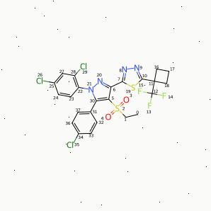 CCS(=O)(=O)c1c(-c2nnc(C3(C(F)(F)F)CCC3)s2)nn(-c2ccc(Cl)cc2Cl)c1-c1ccc(Cl)cc1